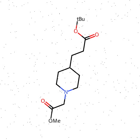 COC(=O)CN1CCC(CCC(=O)OC(C)(C)C)CC1